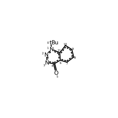 CC(C)(C)n1nnc(=O)c2ccccc21